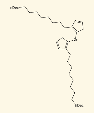 CCCCCCCCCCCCCCCCCCC1=[C]([Zr][C]2=C(CCCCCCCCCCCCCCCCCC)C=CC2)CC=C1